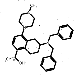 C[C@@H](O)c1ccc(N2CCN(C)CC2)c2c1CCC(N(Cc1ccccc1)Cc1ccccc1)C2